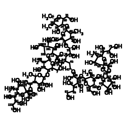 CC1O[C@@H](O[C@@H]2C(CO)O[C@@H](OC([C@H](O)O[C@H](C(O)[C@@H](O)O[C@@H]3C(CO)O[C@@H](O[C@@H]4C(CO)O[C@@H](C)C(C)[C@H]4O)C(C)[C@H]3O)[C@H](O)CCO[C@@H](O)C(O[C@@H]3OC(CO)[C@@H](O[C@@H]4OC(CO[C@]5(C(=O)O)CC(O)[C@@H](N)C(C(O)C(O)CO)O5)[C@H](O)[C@H](O)C4O)[C@H](O)C3C)[C@@H](O)[C@H](O)CCO)[C@@H](O)[C@H](O)C(I)CO)C(N)[C@H]2O)C(O)[C@@H](O)[C@H]1C(O)O[C@]1(C(=O)O)CC(O)[C@@H](N)C(C(O)C(O)CO)O1